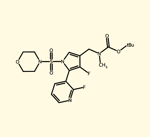 CN(Cc1cn(S(=O)(=O)N2CCOCC2)c(-c2cccnc2F)c1F)C(=O)OC(C)(C)C